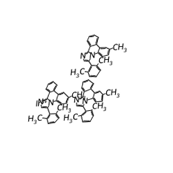 Cc1ccc2c(c1)c1ccccc1c1ncc(-c3c(C)cccc3C)n21.Cc1ccc2c(c1)c1ccccc1c1ncc(-c3c(C)cccc3C)n21.Cc1ccc2c(c1)c1ccccc1c1ncc(-c3c(C)cccc3C)n21.[Ir+3]